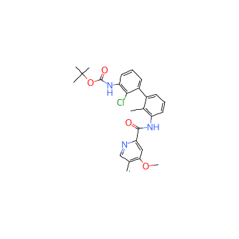 [CH2]c1cnc(C(=O)Nc2cccc(-c3cccc(NC(=O)OC(C)(C)C)c3Cl)c2C)cc1OC